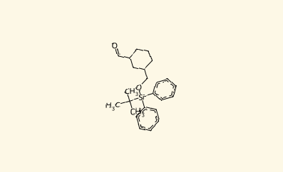 CC(C)(C)[Si](OCC1CCCC(C=O)C1)(c1ccccc1)c1ccccc1